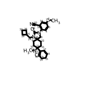 CSc1ccc(N2CC3(CCC(C4=CCCC=C4)(N(C)C)CC3)N(CC3CCC3)C2=O)c(C#N)c1